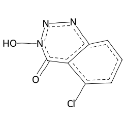 O=c1c2c(Cl)cccc2nnn1O